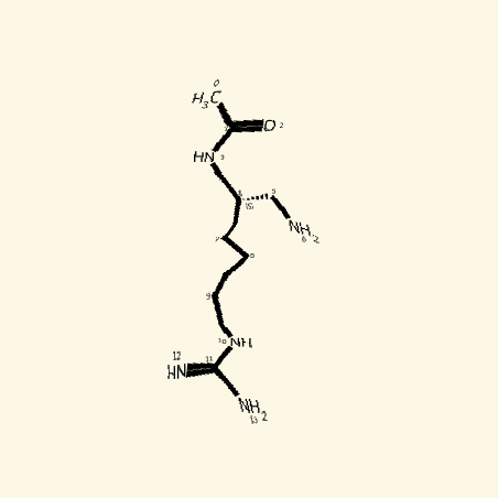 CC(=O)N[C@H](CN)CCCNC(=N)N